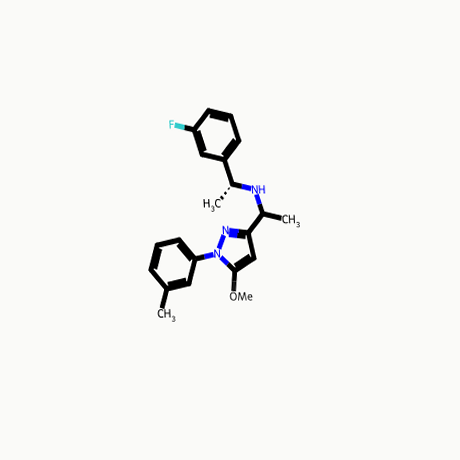 COc1cc(C(C)N[C@H](C)c2cccc(F)c2)nn1-c1cccc(C)c1